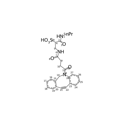 CCCNC(=O)C(CNC(=O)CCC(=O)N1Cc2ccccc2C#Cc2ccccc21)S(=O)(=O)O